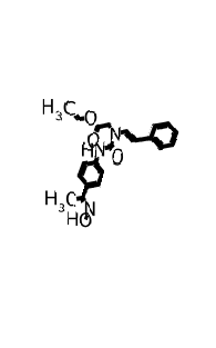 CCOC(=O)CN(C=Cc1ccccc1)C(=O)Nc1ccc(C(C)=NO)cc1